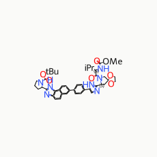 COC(=O)N[C@H](C(=O)N1CC2(C[C@H]1c1ncc(-c3ccc(-c4ccc5c(ccc6nc(C7CCCN7C(=O)OC(C)(C)C)[nH]c65)c4)cc3)[nH]1)OCCO2)C(C)C